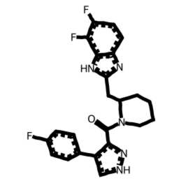 O=C(c1n[nH]cc1-c1ccc(F)cc1)N1CCCCC1Cc1nc2ccc(F)c(F)c2[nH]1